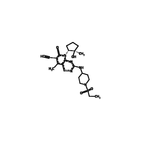 C#Cc1c(C)c2cnc(NC3CCN(S(=O)(=O)CC)CC3)nc2n([C@@H]2CCC[C@@]2(C)O)c1=O